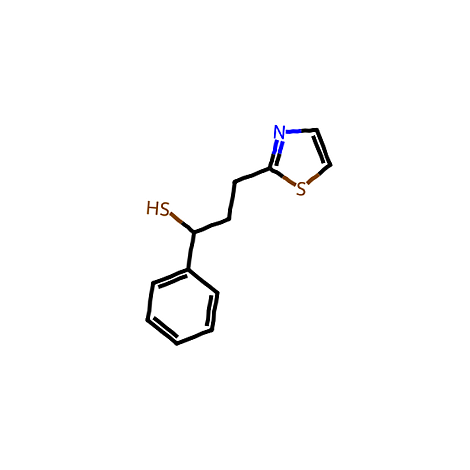 SC(CCc1nccs1)c1ccccc1